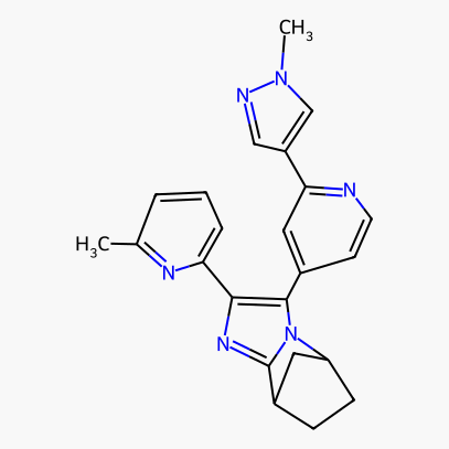 Cc1cccc(-c2nc3n(c2-c2ccnc(-c4cnn(C)c4)c2)C2CCC3C2)n1